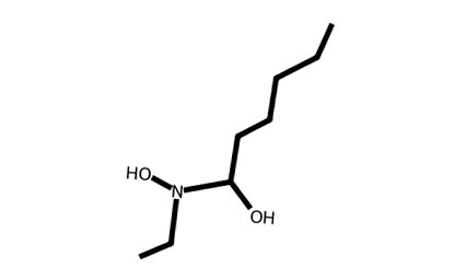 CCCCCC(O)N(O)CC